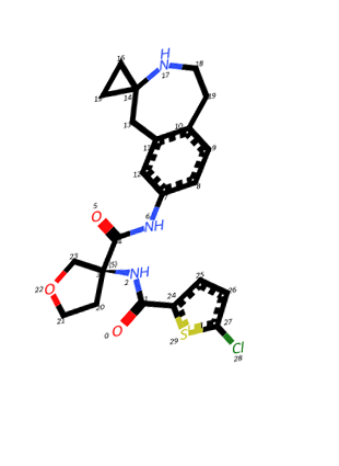 O=C(N[C@@]1(C(=O)Nc2ccc3c(c2)CC2(CC2)NCC3)CCOC1)c1ccc(Cl)s1